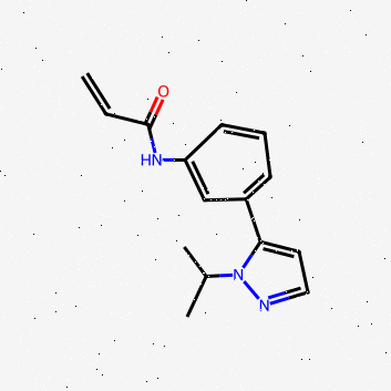 C=CC(=O)Nc1cccc(-c2ccnn2C(C)C)c1